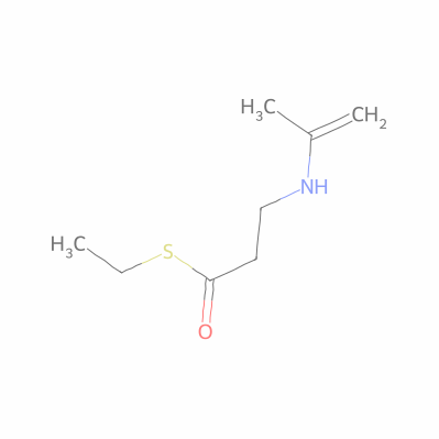 C=C(C)NCCC(=O)SCC